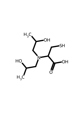 CC(O)CN(CC(C)O)C(CS)C(=O)O